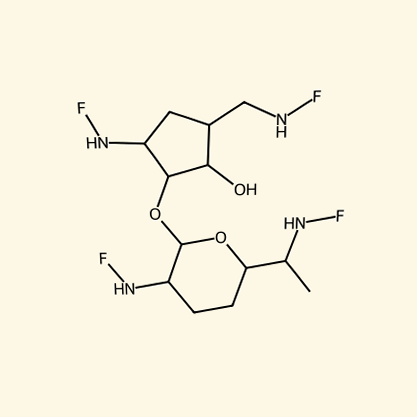 CC(NF)C1CCC(NF)C(OC2C(NF)CC(CNF)C2O)O1